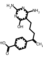 C=C(CCCc1c(N)nc(N)nc1O)c1ccc(C(=O)O)cc1